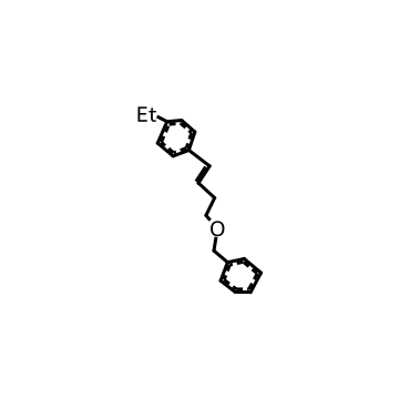 CCc1ccc(C=CCCOCc2ccccc2)cc1